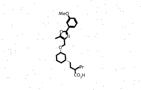 COc1cccc(-c2nc(CO[C@H]3CCC[C@@H](CCC(C(=O)O)C(C)C)C3)c(C)o2)c1